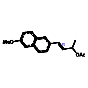 COc1ccc2cc(/C=C/C(C)OC(C)=O)ccc2c1